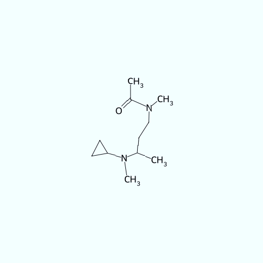 CC(=O)N(C)CCC(C)N(C)C1CC1